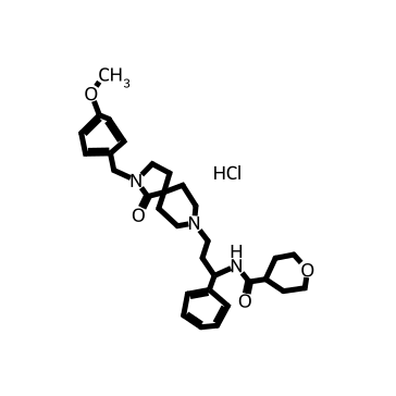 COc1ccc(CN2CCC3(CCN(CCC(NC(=O)C4CCOCC4)c4ccccc4)CC3)C2=O)cc1.Cl